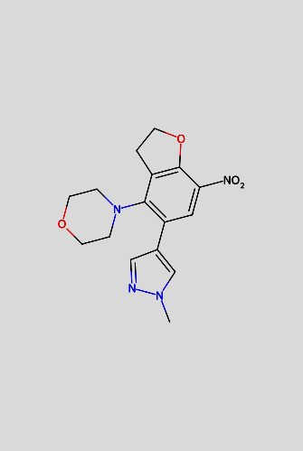 Cn1cc(-c2cc([N+](=O)[O-])c3c(c2N2CCOCC2)CCO3)cn1